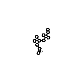 C1=CCCC(C2=C(c3cccc(C4=CC=C5OC6=C(C=CCC6)C5C4)c3)C=C(c3cccc(-c4c5c(c(-c6ccc7ccccc7c6)c6ccccc46)C=CCC5)c3)CC2c2ccccc2)=C1